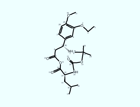 CCOc1cc([C@H](N)CC(=O)OC(=O)[C@H](CC(C)C)NC(=O)OC(C)(C)C)ccc1OC